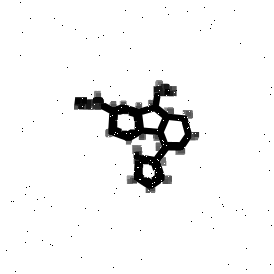 CCCCC1c2cc(OC)ccc2C2C(c3cccs3)=CCCC12